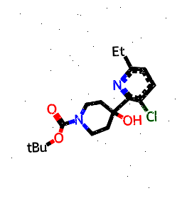 CCc1ccc(Cl)c(C2(O)CCN(C(=O)OC(C)(C)C)CC2)n1